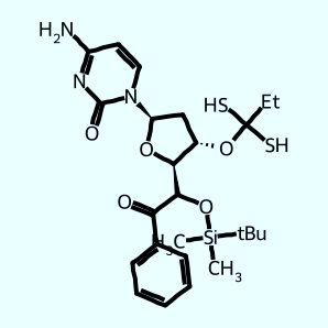 CCC(S)(S)O[C@H]1C[C@H](n2ccc(N)nc2=O)O[C@@H]1C(O[Si](C)(C)C(C)(C)C)C(=O)c1ccccc1